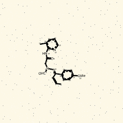 C/C=C\C(=N/N(C=O)CC(=O)Nc1ncccc1C)c1ccc(OC)cc1